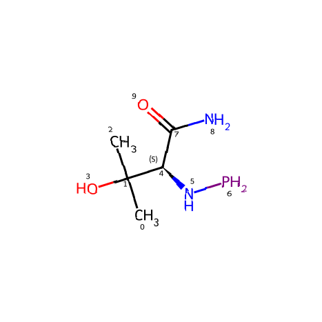 CC(C)(O)[C@H](NP)C(N)=O